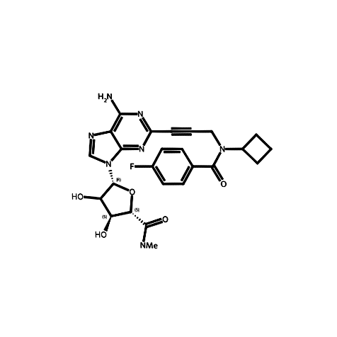 CNC(=O)[C@H]1O[C@@H](n2cnc3c(N)nc(C#CCN(C(=O)c4ccc(F)cc4)C4CCC4)nc32)C(O)[C@@H]1O